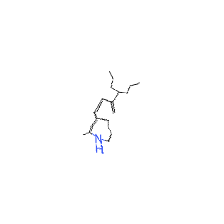 C=C(/C=C\C1=C(C)NCCC1)C(CCC)CCC